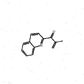 C=C(C)C(=O)c1ccc2ccccc2n1